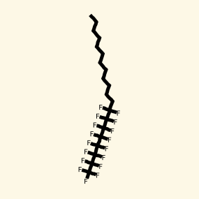 CCCCCCCCCCCCC(F)(F)C(F)(F)C(F)(F)C(F)(F)C(F)(F)C(F)(F)C(F)(F)C(F)(F)F